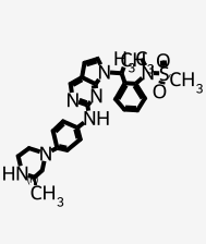 CC(c1ccccc1N(C)S(C)(=O)=O)n1ccc2cnc(Nc3ccc(N4CCN[C@H](C)C4)cc3)nc21